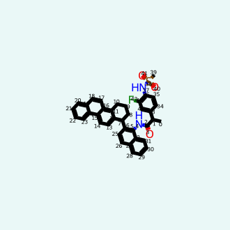 CC(C(=O)Nc1c(C2CCCc3c2ccc2c3ccc3ccccc32)ccc2ccccc12)c1ccc(NS(C)(=O)=O)c(F)c1